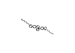 C=CCCCCCCCOc1ccc(OC(=O)c2ccc(OCCCCCCCC)cc2)cc1